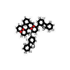 c1ccc(-c2cccc3cccc(-c4ccccc4N(c4ccc(-c5cccc6c5sc5ccccc56)cc4)c4ccc5oc6ccccc6c5c4)c23)cc1